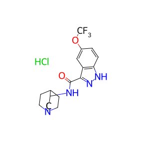 Cl.O=C(NC1CN2CCC1CC2)c1n[nH]c2ccc(OC(F)(F)F)cc12